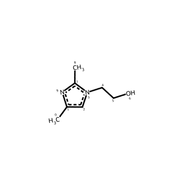 Cc1cn(CCO)c(C)n1